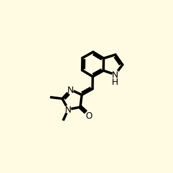 CC1=N/C(=C\c2cccc3cc[nH]c23)C(=O)N1C